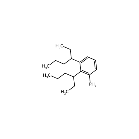 CCCC(CC)c1cccc(P)c1C(CC)CCC